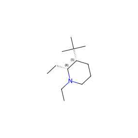 CC[C@@H]1[C@H](C(C)(C)C)CCCN1CC